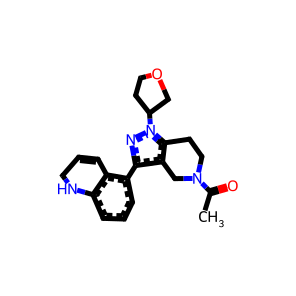 CC(=O)N1CCc2c(c(-c3cccc4c3C=CCN4)nn2C2CCOC2)C1